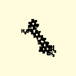 CCN(Cc1ccc(CN2CCN(c3nccc(C(C)C)c3C(=O)O)CC2)cc1)Cc1c(F)cccc1F